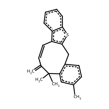 C=C1/C=C\c2c(sc3ccccc23)Cc2ccc(C)cc2C1(C)C